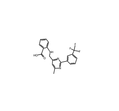 Cc1cc(CNc2ccccc2C(=O)O)nc(-c2cccc(C(F)(F)F)c2)n1